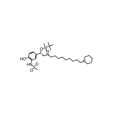 CC(C)(C)[Si](C)(C)O[C@@H](CNCCCCCCCCCN1CC[CH]CC1)c1ccc(O)c(NS(C)(=O)=O)c1